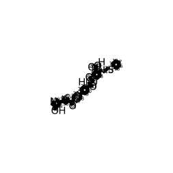 O=C(NS(=O)(=O)c1ccc(NCCSc2ccccc2)c([N+](=O)[O-])c1)c1ccc(N2CCN(C(=O)c3cc(-c4cncc(O)c4)cs3)CC2)cc1